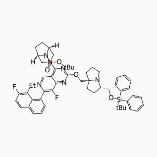 CCc1c(F)ccc2cccc(-c3ncc4c(N5C[C@H]6CC[C@@H](C5)N6C(=O)OC(C)(C)C)nc(OC[C@@]56CCCN5[C@H](CO[Si](c5ccccc5)(c5ccccc5)C(C)(C)C)CC6)nc4c3F)c12